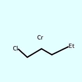 CCCCCCl.[Cr]